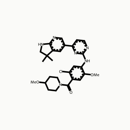 COc1cc(C(=O)N2CCC(OC)CC2)c(Cl)cc1Nc1nccc(-c2cnc3c(c2)C(C)(C)CN3)n1